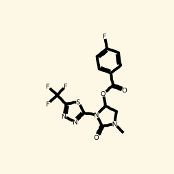 CN1CC(OC(=O)c2ccc(F)cc2)N(c2nnc(C(F)(F)F)s2)C1=O